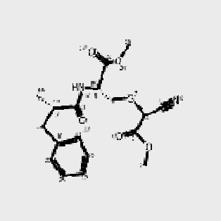 COC(=O)C(C#N)SC[C@H](NC(=O)[C@@H](C)Cc1ccccc1)C(=O)OC